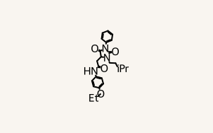 CCOc1ccc(NC(=O)CC2C(=O)N(c3ccccc3)C(=O)N2CCC(C)C)cc1